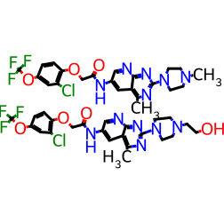 Cc1nc(N2CCN(C)CC2)nc2ncc(NC(=O)COc3ccc(OC(F)(F)F)cc3Cl)cc12.Cc1nc(N2CCN(CCO)CC2)nc2ncc(NC(=O)COc3ccc(OC(F)(F)F)cc3Cl)cc12